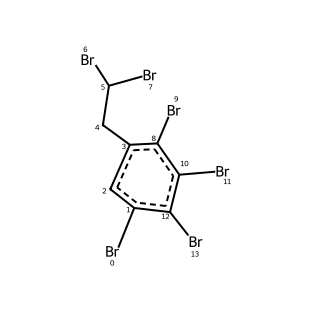 Brc1cc(CC(Br)Br)c(Br)c(Br)c1Br